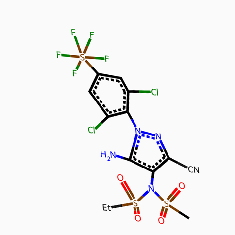 CCS(=O)(=O)N(c1c(C#N)nn(-c2c(Cl)cc(S(F)(F)(F)(F)F)cc2Cl)c1N)S(C)(=O)=O